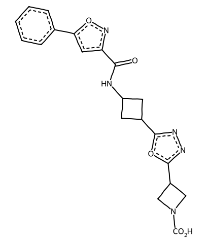 O=C(NC1CC(c2nnc(C3CN(C(=O)O)C3)o2)C1)c1cc(-c2ccccc2)on1